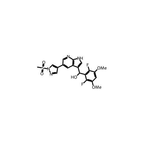 COc1cc(OC)c(F)c(C(O)c2c[nH]c3ncc(-c4cnn(S(C)(=O)=O)c4)cc23)c1F